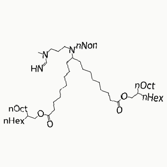 CCCCCCCCCN(CCCN(C)C=N)C(CCCCCCCCC(=O)OCC(CCCCCC)CCCCCCCC)CCCCCCCCC(=O)OCC(CCCCCC)CCCCCCCC